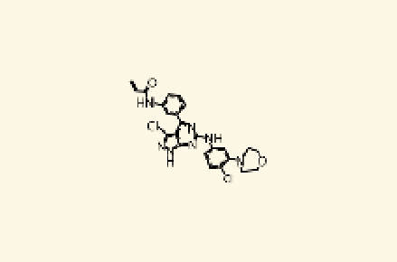 C=CC(=O)Nc1cccc(-c2nc(Nc3ccc(Cl)c(N4CCOCC4)c3)nc3[nH]nc(Cl)c23)c1